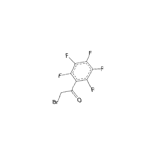 O=C(CBr)c1c(F)c(F)c(F)c(F)c1F